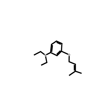 CCN(CC)c1cc[c]c(OCC=C(C)C)c1